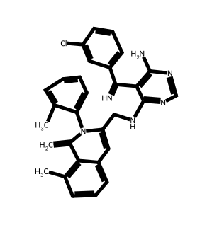 C=C1c2c(C)cccc2C=C(CNc2ncnc(N)c2C(=N)c2cccc(Cl)c2)N1c1ccccc1C